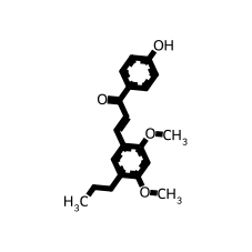 CCCc1cc(/C=C/C(=O)c2ccc(O)cc2)c(OC)cc1OC